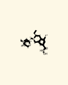 CC[C@H]1Cc2c(F)cc(C(=O)NO)cc2CN1C[C@@]12C[C@@H](CO1)N(C)C2